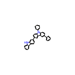 c1ccc(-c2ccc3c(c2)c2cc(-c4ccc5c(c4)[nH]c4ccccc45)ccc2n3-c2ccccc2)cc1